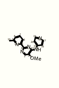 COc1cnc(-c2cccc(C)n2)nc1Nc1ccncc1